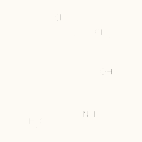 C=C/C(N)=C(O)\C=C(/C)Cl